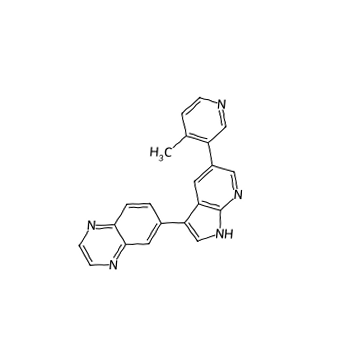 Cc1ccncc1-c1cnc2[nH]cc(-c3ccc4nccnc4c3)c2c1